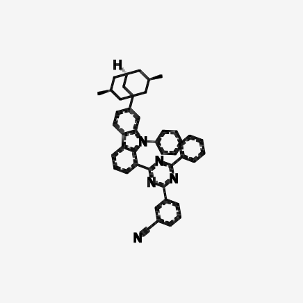 C[C@@H]1C[C@@H]2C[C@H](C)CC(c3ccc4c5cccc(-c6nc(-c7ccccc7)nc(-c7cccc(C#N)c7)n6)c5n(-c5ccccc5)c4c3)(C1)C2